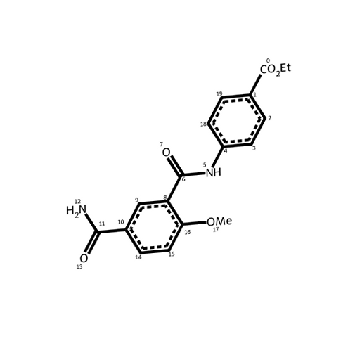 CCOC(=O)c1ccc(NC(=O)c2cc(C(N)=O)ccc2OC)cc1